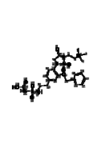 C[Si](C)(C)CCN1C(=O)CN(c2ccc(CCNS(=O)(=O)NC(=O)O)cc2OCc2ccccc2)S1(=O)=O